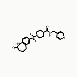 O=C1CCCc2cc(S(=O)(=O)N3CCC(C(=O)NCc4ccncc4)CC3)ccc2N1